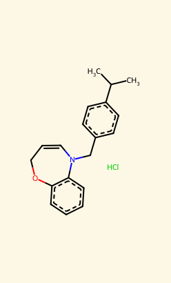 CC(C)c1ccc(CN2C=CCOc3ccccc32)cc1.Cl